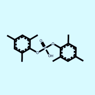 Cc1cc(C)c(OP(=O)(O)Oc2c(C)cc(C)cc2C)c(C)c1